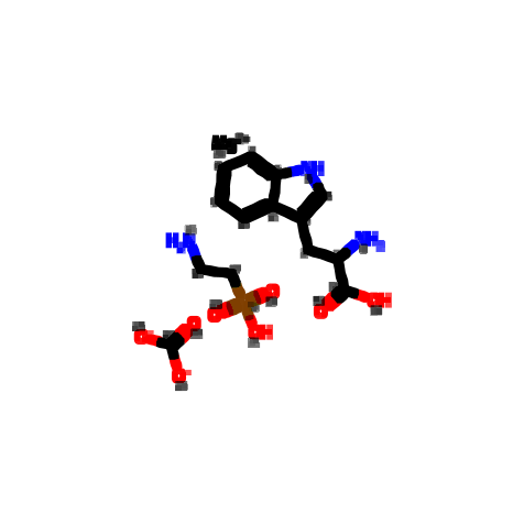 NC(Cc1c[nH]c2ccccc12)C(=O)O.NCCS(=O)(=O)O.O=C([O-])[O-].[Mg+2]